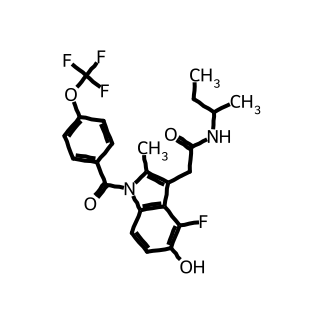 CCC(C)NC(=O)Cc1c(C)n(C(=O)c2ccc(OC(F)(F)F)cc2)c2ccc(O)c(F)c12